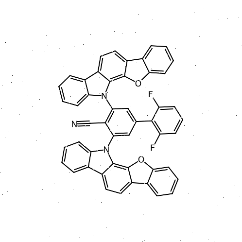 N#Cc1c(-n2c3ccccc3c3ccc4c5ccccc5oc4c32)cc(-c2c(F)cccc2F)cc1-n1c2ccccc2c2ccc3c4ccccc4oc3c21